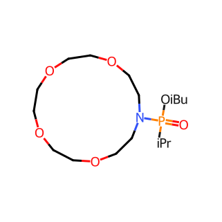 CC(C)COP(=O)(C(C)C)N1CCOCCOCCOCCOCC1